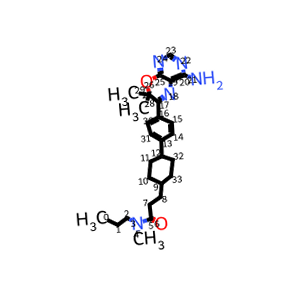 CCCN(C)C(=O)CCC1CCC(c2ccc(C3=Nc4c(N)ncnc4OC3(C)C)cc2)CC1